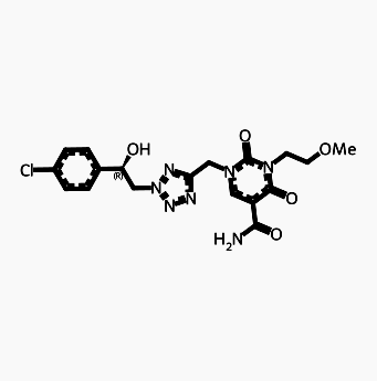 COCCn1c(=O)c(C(N)=O)cn(Cc2nnn(C[C@H](O)c3ccc(Cl)cc3)n2)c1=O